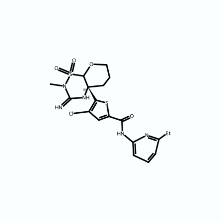 CCc1cccc(NC(=O)c2cc(Cl)c([C@]34CCCOC3S(=O)(=O)N(C)C(=N)N4)s2)n1